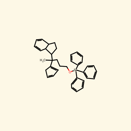 CC(CCCO[Si](c1ccccc1)(c1ccccc1)c1ccccc1)(C1=CC=CC1)C1CCC2C=CC=CC21